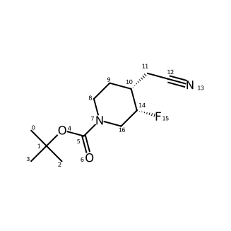 CC(C)(C)OC(=O)N1CC[C@H](CC#N)[C@H](F)C1